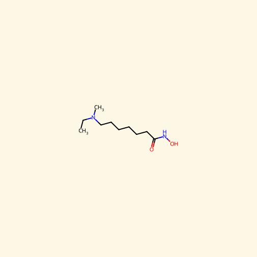 CCN(C)CCCCCCC(=O)NO